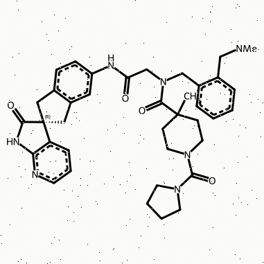 CNCc1ccccc1CN(CC(=O)Nc1ccc2c(c1)C[C@@]1(C2)C(=O)Nc2ncccc21)C(=O)C1(C)CCN(C(=O)N2CCCC2)CC1